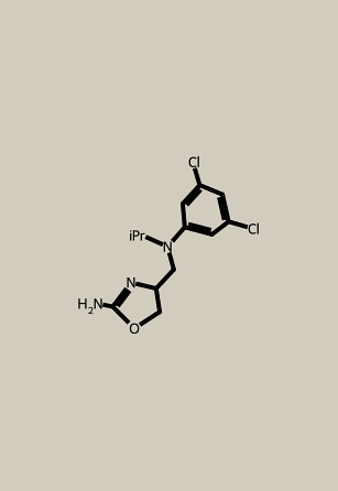 CC(C)N(CC1COC(N)=N1)c1cc(Cl)cc(Cl)c1